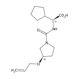 C=CCO[C@@H]1CCN(C(=O)N[C@H](C(=O)O)C2CCCC2)C1